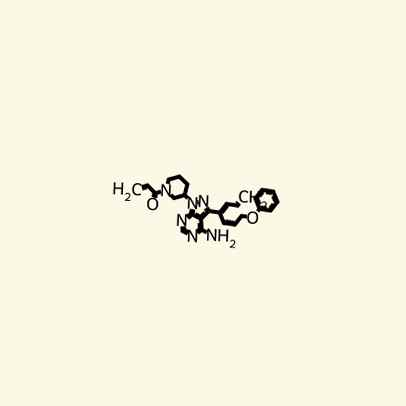 C=C/C=C(\C=C/COc1ccccc1)c1nn(C2CCCN(C(=O)C=C)C2)c2ncnc(N)c12